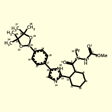 COC(=O)NN(C(=O)C1CCCCC1c1ncc(-c2ccc(B3OC(C)(C)C(C)(C)O3)cc2)[nH]1)C(C)C